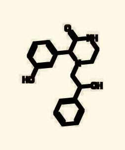 O=C1NCCN(CC(O)c2ccccc2)C1c1cccc(O)c1